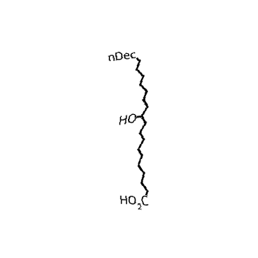 CCCCCCCCCCCCCCCCCC(O)CCCCCCCCCC(=O)O